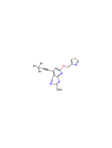 CSc1ncc2c(C#C[Si](C(C)C)(C(C)C)C(C)C)cc(OCc3cscn3)nc2n1